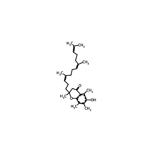 CC(C)=CCCC(C)=CCCC(C)=CCCC1(C)CC(=O)c2c(C)c(O)c(C)c(C)c2O1